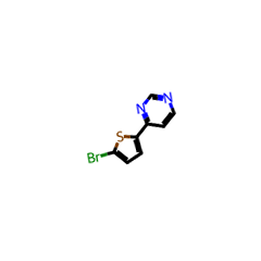 Brc1ccc(-c2ccncn2)s1